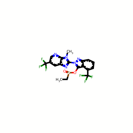 CCS(=O)Oc1c2c(C(F)(F)F)cccc2nn1-c1nc2cc(C(F)(F)F)cnc2n1C